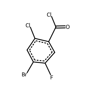 O=C(Cl)c1cc(F)c(Br)cc1Cl